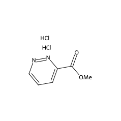 COC(=O)c1cccnn1.Cl.Cl